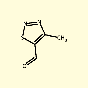 Cc1nnsc1C=O